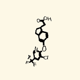 O=C(O)CC1CCc2cc(Oc3ncc(C(F)(F)F)cc3Cl)ccc21